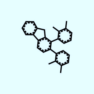 Cc1cccc(-c2ccc3c(c2-c2cccc(C)c2C)Cc2ccccc2-3)c1C